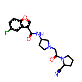 N#CC1CCCN1C(=O)CN1CCC(NC(=O)c2coc3ccc(F)cc23)C1